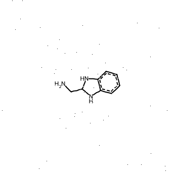 NCC1Nc2ccccc2N1